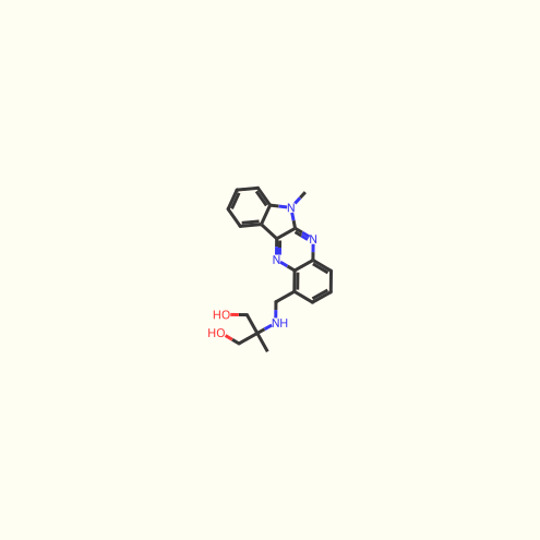 Cn1c2ccccc2c2nc3c(CNC(C)(CO)CO)cccc3nc21